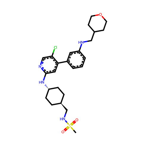 CS(=O)(=O)NC[C@H]1CC[C@H](Nc2cc(-c3cccc(NCC4CCOCC4)c3)c(Cl)cn2)CC1